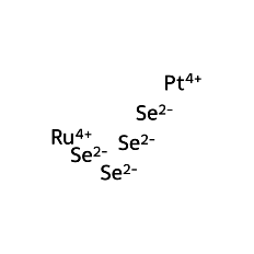 [Pt+4].[Ru+4].[Se-2].[Se-2].[Se-2].[Se-2]